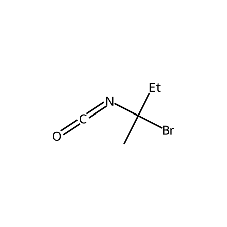 CCC(C)(Br)N=C=O